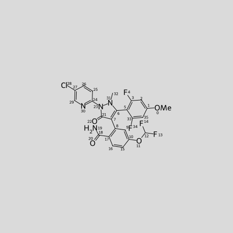 COc1cc(F)c(-c2c(-c3cc(OC(F)F)ccc3C(N)=O)c(=O)n(-c3ccc(Cl)cn3)n2C)c(F)c1